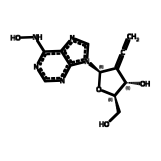 C=C=C1[C@H](n2cnc3c(NO)ncnc32)O[C@H](CO)[C@H]1O